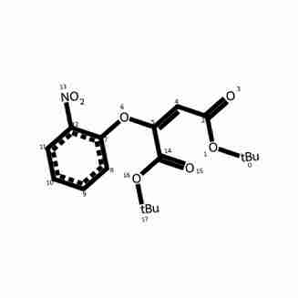 CC(C)(C)OC(=O)C=C(Oc1ccccc1[N+](=O)[O-])C(=O)OC(C)(C)C